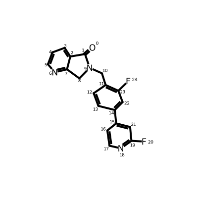 O=C1c2cccnc2CN1Cc1ccc(-c2ccnc(F)c2)cc1F